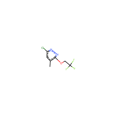 Cc1cc(Cl)nnc1OCC(F)(F)F